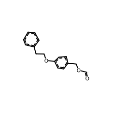 O=[C]OCc1ccc(OCCc2ccccc2)cc1